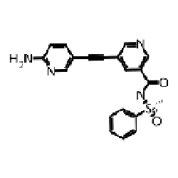 C[S@@](=O)(=NC(=O)c1cncc(C#Cc2ccc(N)nc2)c1)c1ccccc1